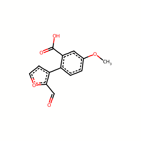 COc1ccc(-c2ccoc2C=O)c(C(=O)O)c1